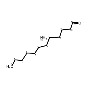 CCCCCCCCCCCC=O.N